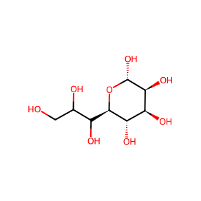 OCC(O)C(O)[C@H]1O[C@H](O)[C@@H](O)[C@@H](O)[C@@H]1O